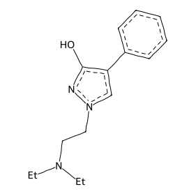 CCN(CC)CCn1cc(-c2ccccc2)c(O)n1